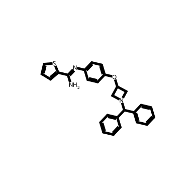 N/C(=N\c1ccc(OC2CN(C(c3ccccc3)c3ccccc3)C2)cc1)c1cccs1